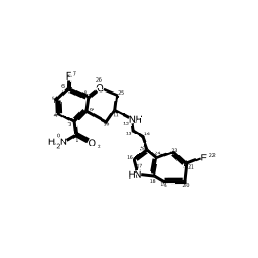 NC(=O)c1ccc(F)c2c1CC(NCCc1c[nH]c3ccc(F)cc13)CO2